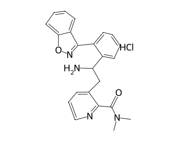 CN(C)C(=O)c1ncccc1CC(N)c1ccccc1-c1noc2ccccc12.Cl